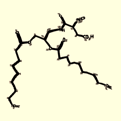 CCCCCCCCCCCCCCCCCC(=O)OCC(CNC(=O)C(CC(=O)O)N=O)OC(=O)CCCCCCCCCCCCCCCCC